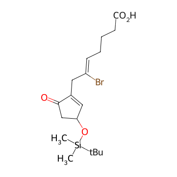 CC(C)(C)[Si](C)(C)OC1C=C(CC(Br)=CCCCC(=O)O)C(=O)C1